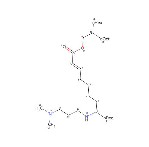 CCCCCCCCCCC(CCCCC=CC(=O)OCC(CCCCCC)CCCCCCCC)NCCCN(C)C